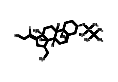 CC[C@H]1CC(=C(F)CO)[C@@]2(C)CC[C@H]3[C@@H](CC=C4C[C@@H](O[Si](C)(C)C(C)(C)C)CC[C@@]43C)[C@H]12